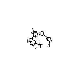 Cc1cc(N2CCC(c3cn[nH]c3)C2)nc(-c2cnc3cnc(C(F)(F)F)cn23)n1